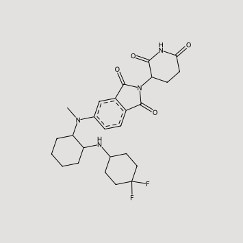 CN(c1ccc2c(c1)C(=O)N(C1CCC(=O)NC1=O)C2=O)C1CCCCC1NC1CCC(F)(F)CC1